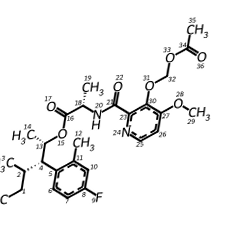 CCC(C)[C@@H](c1ccc(F)cc1C)[C@H](C)OC(=O)[C@H](C)NC(=O)c1nccc(OC)c1OCOC(C)=O